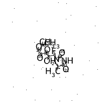 Cc1cn(C(F)C(O)[C@@H]2OC(C)(C)OCC2=O)c(=O)[nH]c1=O